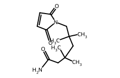 CC(C)(CC(N)=O)CC(C)(C)CN1C(=O)C=CC1=O